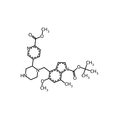 COC(=O)c1ccc(C2CNCCN2Cc2c(OC)cc(C)c3c2ccn3C(=O)OC(C)(C)C)cn1